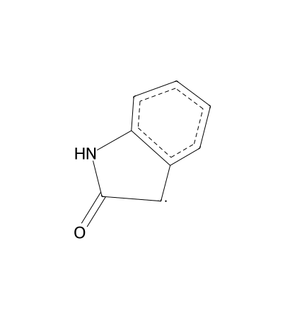 O=C1[CH]c2ccccc2N1